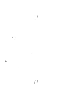 O=C(CCl)c1ccncc1F